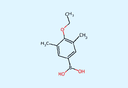 CCOc1c(C)cc(B(O)O)cc1C